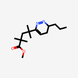 CCCC1CC=C(C(C)(C)CC(C)(C)C(=O)OC)N=N1